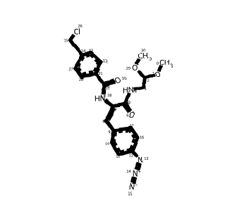 COC(CNC(=O)/C(=C\c1ccc(N=[N+]=[N-])cc1)NC(=O)c1ccc(CCl)cc1)OC